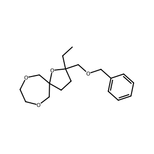 CCC1(COCc2ccccc2)CCC2(COCCOC2)O1